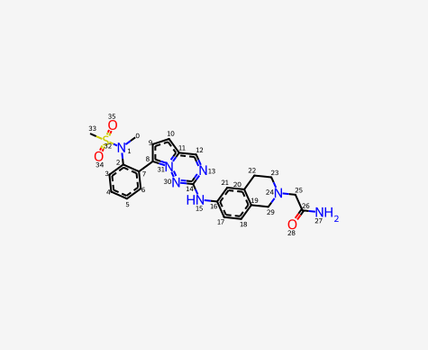 CN(c1ccccc1-c1ccc2cnc(Nc3ccc4c(c3)CCN(CC(N)=O)C4)nn12)S(C)(=O)=O